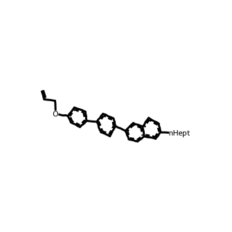 C=CCOc1ccc(-c2ccc(-c3ccc4cc(CCCCCCC)ccc4c3)cc2)cc1